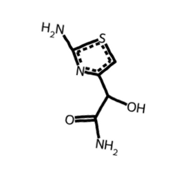 NC(=O)C(O)c1csc(N)n1